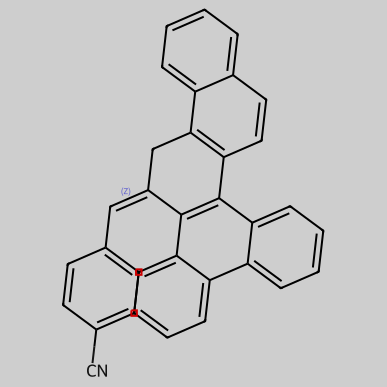 N#Cc1ccc(/C=C2/Cc3c(ccc4ccccc34)-c3c2c2ccccc2c2ccccc32)cc1